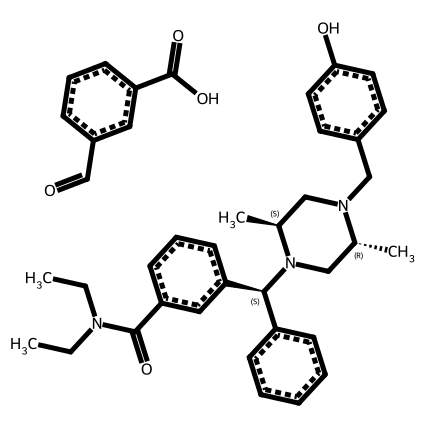 CCN(CC)C(=O)c1cccc([C@H](c2ccccc2)N2C[C@@H](C)N(Cc3ccc(O)cc3)C[C@@H]2C)c1.O=Cc1cccc(C(=O)O)c1